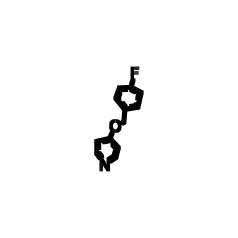 Fc1ccc(COc2ccncc2)cc1